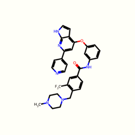 CN1CCN(Cc2ccc(C(=O)Nc3cccc(Oc4cc(-c5ccncc5)nc5[nH]ccc45)c3)cc2C(F)(F)F)CC1